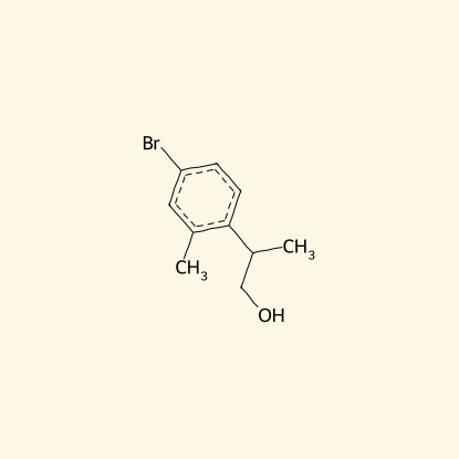 Cc1cc(Br)ccc1C(C)CO